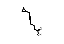 O=C(O)CCCC#CCC1CC1